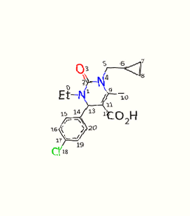 CCN1C(=O)N(CC2CC2)C(C)=C(C(=O)O)C1c1ccc(Cl)cc1